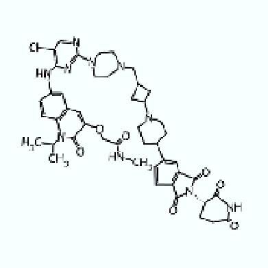 CNC(=O)COc1cc2cc(Nc3nc(N4CCN(CC5CC(N6CCC(c7ccc8c(c7)C(=O)N([C@H]7CCC(=O)NC7=O)C8=O)CC6)C5)CC4)ncc3Cl)ccc2n(C(C)C)c1=O